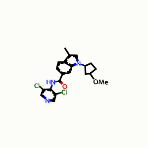 COC1CCC(n2cc(C)c3ccc(C(=O)Nc4c(Cl)cncc4Cl)cc32)C1